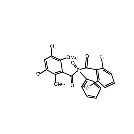 COc1c(Cl)cc(Cl)c(OC)c1C(=O)P(=O)(C(=O)c1c(C)cccc1Cl)c1ccccc1